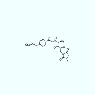 CC1CC(=O)N(CC(=O)C(=O)[C@@H](NCNc2ccc(COC=O)cc2)C(C)C)C1=O